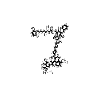 CC[C@@]1(O)C(=O)OCc2c1cc1n(c2=O)Cc2c-1nc1cc(F)c(C)c3c1c2[C@@H](NC1CC(COCNC(=O)CNC(=O)[C@H](Cc2ccccc2)NC(=O)COC(=O)CNC(=O)CCCCCN2C(=O)C=CC2=O)C1)CC3